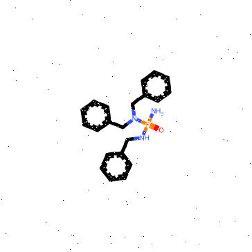 NP(=O)(NCc1ccccc1)N(Cc1ccccc1)Cc1ccccc1